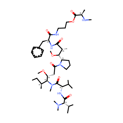 CC[C@H](C)[C@@H]([C@@H](CC(=O)N1CCC[C@H]1C(OC)[C@@H](C)C(=O)N[C@@H](Cc1ccccc1)C(=O)NCCCOC(=O)[C@@H](C)NC)OC)N(C)C(=O)[C@@H](NC(=O)[C@H](C(C)C)N(C)C)C(C)C